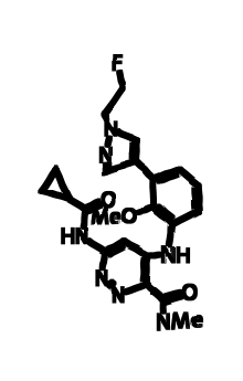 CNC(=O)c1nnc(NC(=O)C2CC2)cc1Nc1cccc(-c2cnn(CCF)c2)c1OC